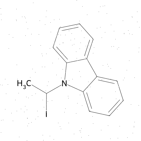 CC(I)n1c2ccccc2c2ccccc21